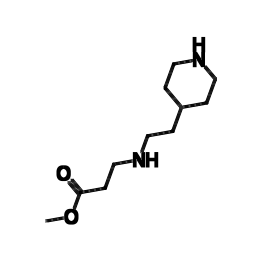 COC(=O)CCNCCC1CCNCC1